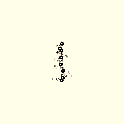 Cc1cc(N=Nc2cc(C)c(N=Nc3ccc4cc(Nc5ccccc5)ccc4c3O)cc2C)ccc1N=Nc1ccc(N=Nc2cc3c(S(=O)(=O)O)cccc3cc2S(=O)(=O)O)c(C)c1